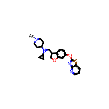 CC(=O)N1CCC(N(CC2COc3cc(Oc4nc5ncccc5s4)ccc32)C2CC2)CC1